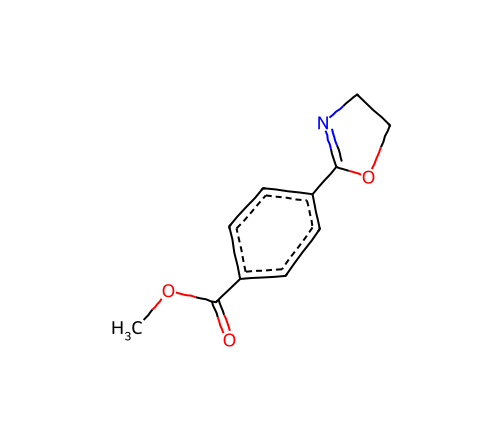 COC(=O)c1ccc(C2=NCCO2)cc1